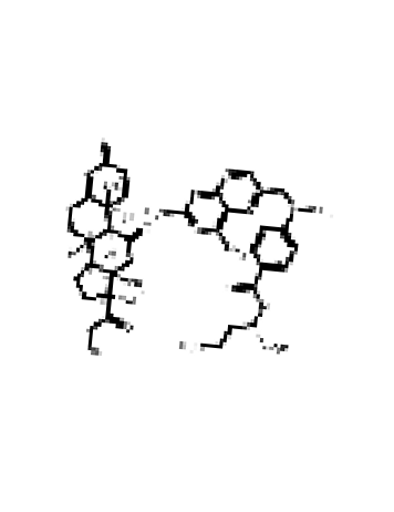 CN(Cc1cnc2nc(N)nc(N)c2n1)c1ccc(C(=O)N[C@@H](CCC(=O)O)C(=O)O)cc1.C[C@]12C=CC(=O)C=C1CC[C@@H]1[C@@H]2C(=O)C[C@@]2(C)[C@H]1CC[C@]2(O)C(=O)CO